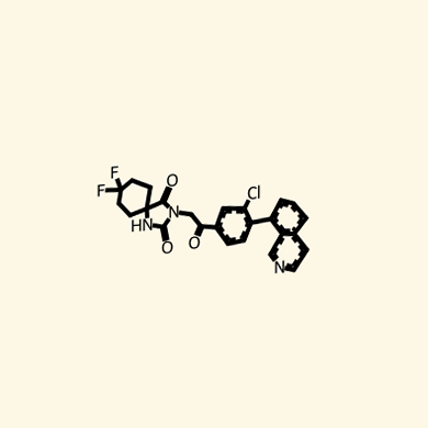 O=C(CN1C(=O)NC2(CCC(F)(F)CC2)C1=O)c1ccc(-c2cccc3ccncc23)c(Cl)c1